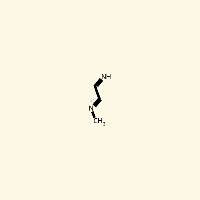 C/N=C/C=N